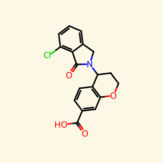 O=C(O)c1ccc2c(c1)OCCC2N1Cc2cccc(Cl)c2C1=O